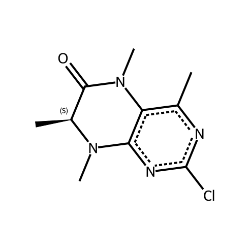 Cc1nc(Cl)nc2c1N(C)C(=O)[C@H](C)N2C